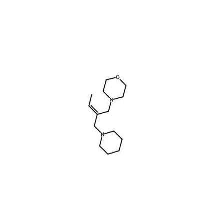 C/C=C(/CN1CCCCC1)CN1CCOCC1